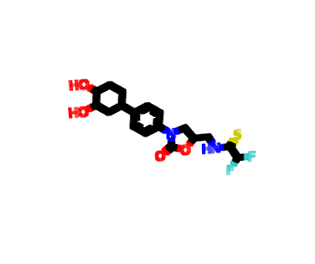 O=C1OC(CNC(=S)C(F)F)CN1c1ccc(C2CCC(O)C(O)C2)cc1